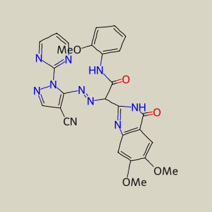 COc1ccccc1NC(=O)C(N=Nc1c(C#N)cnn1-c1ncccn1)c1nc2cc(OC)c(OC)cc2c(=O)[nH]1